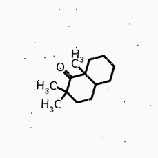 CC1(C)CCC2CCCCC2(C)C1=O